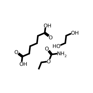 CCOC(N)=O.O=C(O)CCCCC(=O)O.OCCO